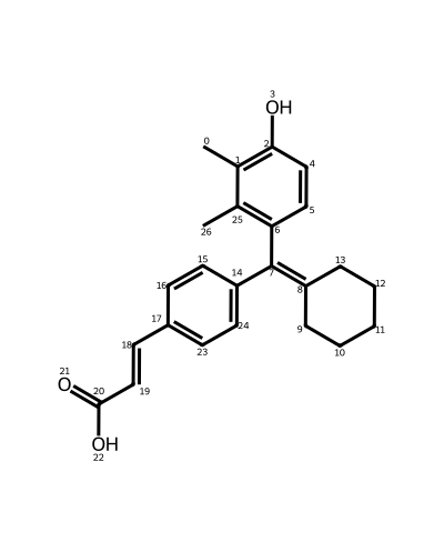 Cc1c(O)ccc(C(=C2CCCCC2)c2ccc(/C=C/C(=O)O)cc2)c1C